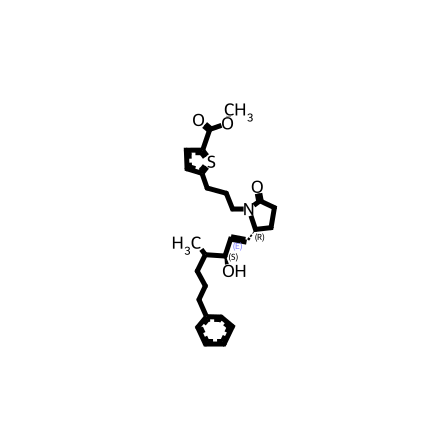 COC(=O)c1ccc(CCCN2C(=O)CC[C@@H]2/C=C/[C@@H](O)C(C)CCCc2ccccc2)s1